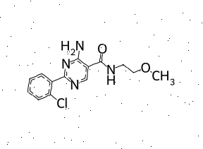 COCCNC(=O)c1cnc(-c2ccccc2Cl)nc1N